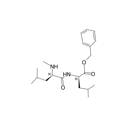 CN[C@H](CC(C)C)C(=O)N[C@H](CC(C)C)C(=O)OCc1ccccc1